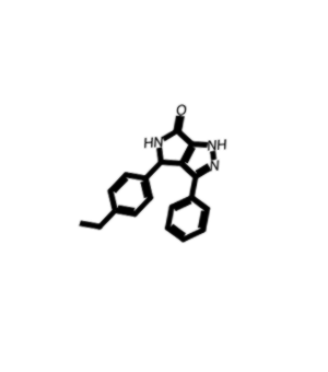 CCc1ccc(C2NC(=O)c3[nH]nc(-c4ccccc4)c32)cc1